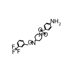 Nc1ccc(S(=O)(=O)N2CCC(=NOCc3cccc(C(F)(F)F)c3)CC2)cc1